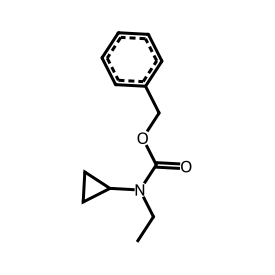 CCN(C(=O)OCc1ccccc1)C1CC1